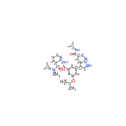 CC(C)Oc1cc(CNc2ncccc2C(O)N(C)C2CC2)cc(-c2c[nH]c3ncc(C(=O)NC4CC4)cc23)c1